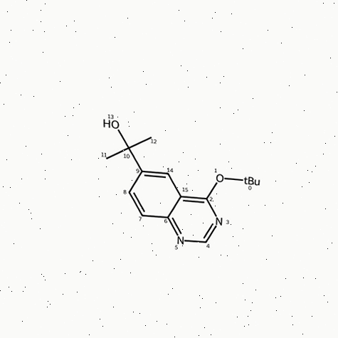 CC(C)(C)Oc1ncnc2ccc(C(C)(C)O)cc12